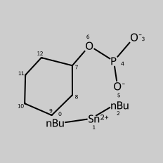 CCC[CH2][Sn+2][CH2]CCC.[O-]P([O-])OC1CCCCC1